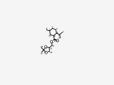 CC1CCC(C(C)C)C(C(=O)OCC2COC(C)(C)O2)C1